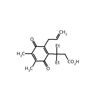 C=CCC1=C(C(CC)(CC)CC(=O)O)C(=O)C(C)=C(C)C1=O